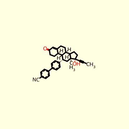 CC#C[C@]1(O)CC[C@H]2[C@@H]3CCC4=CC(=O)CC[C@@H]4[C@H]3[C@@H](c3ccc(-c4ccc(C#N)cc4)cc3)C[C@@]21C